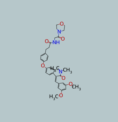 COc1cc(C=C(C(=O)N(C)C)c2ccc(Oc3ccc(CCC(=O)NCC(=O)N4CCOCC4)cc3)cc2)cc(OC)c1